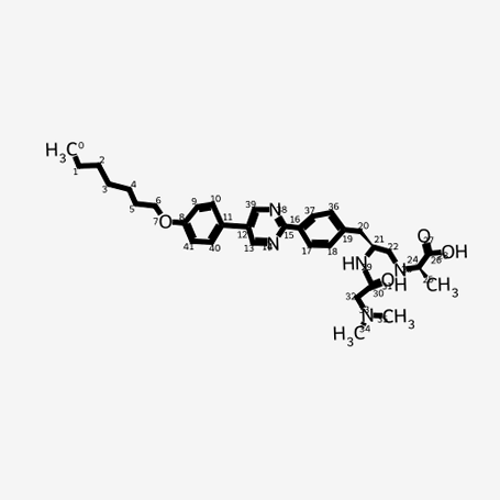 CCCCCCCOc1ccc(-c2cnc(-c3ccc(C[C@@H](CN[C@H](C)C(=O)O)NC(=O)CN(C)C)cc3)nc2)cc1